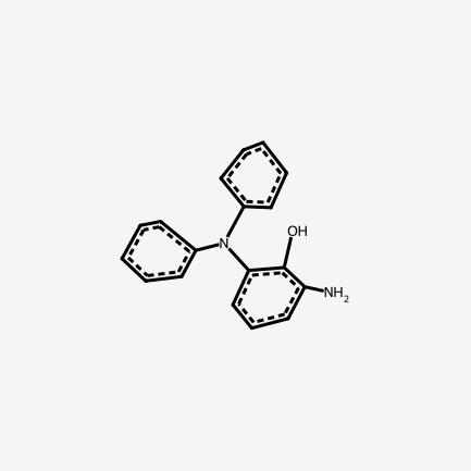 Nc1cccc(N(c2ccccc2)c2ccccc2)c1O